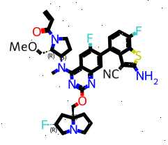 C=CC(=O)N1CC[C@H](N(C)c2nc(OC[C@@]34CCCN3C[C@H](F)C4)nc3cc(-c4ccc(F)c5sc(N)c(C#N)c45)c(F)cc23)[C@@H]1COC